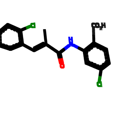 CC(=Cc1ccccc1Cl)C(=O)Nc1cc(Cl)ccc1C(=O)O